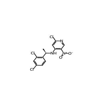 C[C@@H](Nc1cc(Cl)ncc1[N+](=O)[O-])c1ccc(Cl)cc1Cl